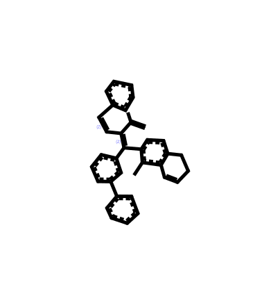 C=C(C)C(/C=C\c1ccccc1)=C(/c1cccc(-c2ccccc2)c1)c1ccc2c(c1C)C=CCC2